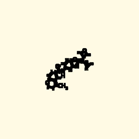 CN1CCOc2ccc(C(=O)Nc3ccc4oc(N(C5CC5)C5COC5)nc4c3)cc21